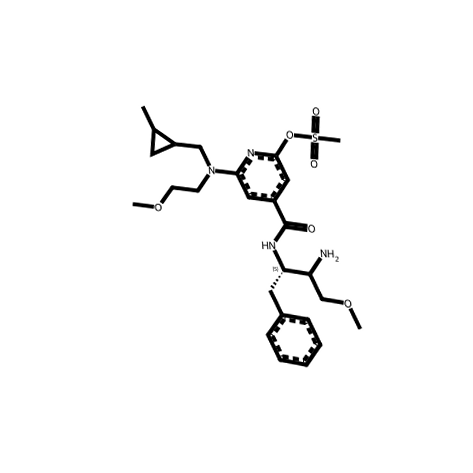 COCCN(CC1CC1C)c1cc(C(=O)N[C@@H](Cc2ccccc2)C(N)COC)cc(OS(C)(=O)=O)n1